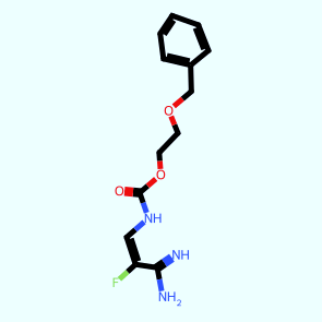 N=C(N)/C(F)=C\NC(=O)OCCOCc1ccccc1